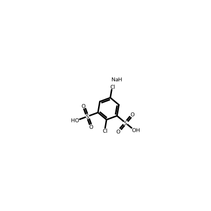 O=S(=O)(O)c1cc(Cl)cc(S(=O)(=O)O)c1Cl.[NaH]